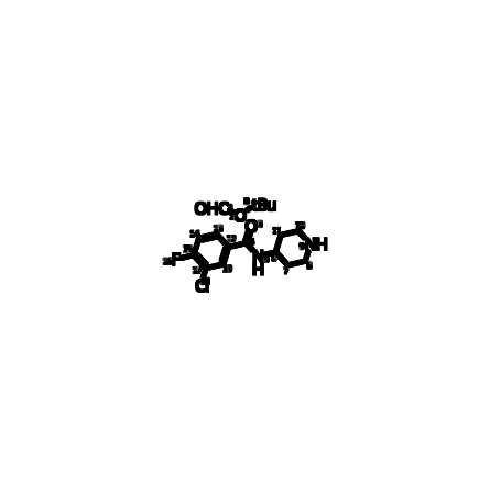 CC(C)(C)OC=O.O=C(NC1CCNCC1)c1ccc(F)c(Cl)c1